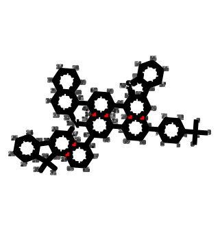 CC(C)(C)c1ccc(-c2ccc(-c3ccc(N(c4ccc5c(c4)-c4ccccc4C5(C)C)c4ccc5ccccc5c4-c4ccc(-c5cccc6c5sc5ccccc56)cc4)c(-c4ccccc4)c3)cc2)cc1